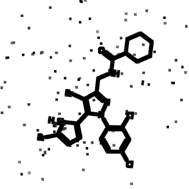 O=C(NCc1nn(-c2ccc(Cl)cc2Cl)c(C2=CC=C(Br)[SeH2]2)c1Br)C1CCCCC1